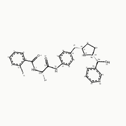 C[C@H](NC(=O)c1ccccc1F)C(=O)Nc1ccc(C[C@@H]2CC[C@H](C(O)c3cccnc3)N2)cc1